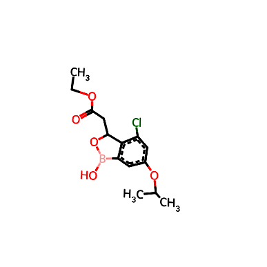 CCOC(=O)CC1OB(O)c2cc(OC(C)C)cc(Cl)c21